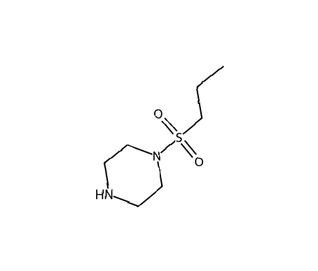 CCCS(=O)(=O)N1CCNCC1